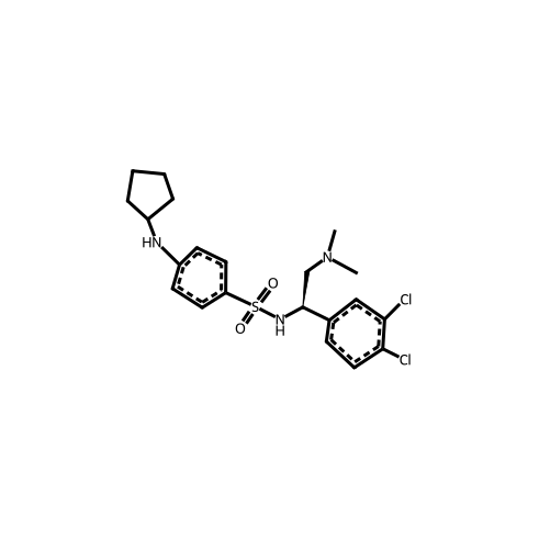 CN(C)C[C@H](NS(=O)(=O)c1ccc(NC2CCCC2)cc1)c1ccc(Cl)c(Cl)c1